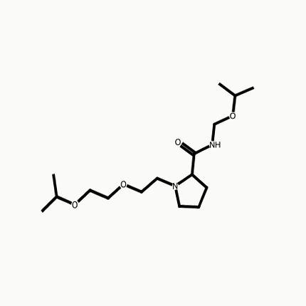 CC(C)OCCOCCN1CCCC1C(=O)NCOC(C)C